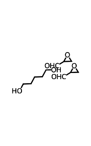 O=CC1CO1.O=CC1CO1.OCCCCCO